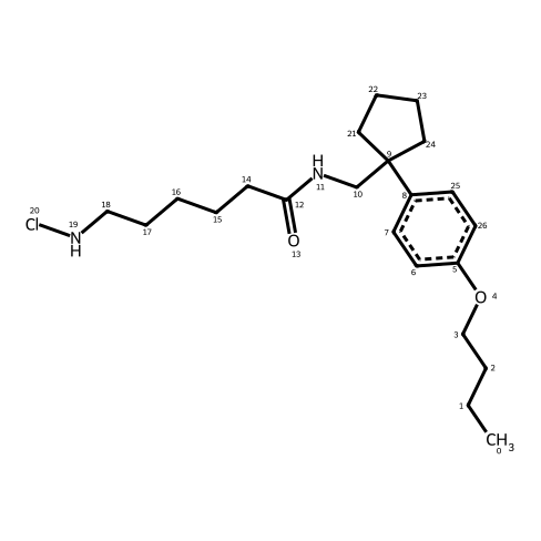 CCCCOc1ccc(C2(CNC(=O)CCCCCNCl)CCCC2)cc1